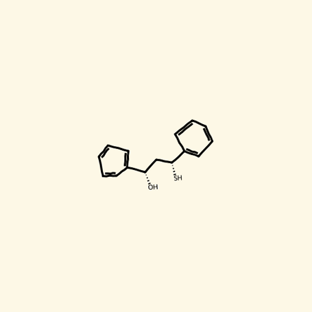 O[C@@H](C[C@@H](S)c1ccccc1)c1ccccc1